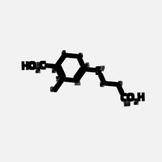 CC1=C(C(=O)O)CCC(SCCC(=O)O)=C1